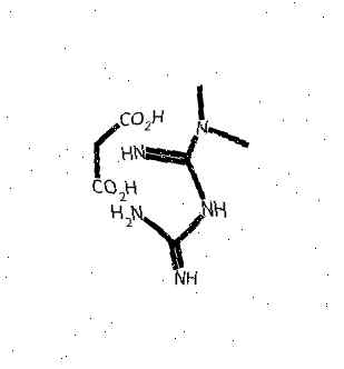 CN(C)C(=N)NC(=N)N.O=C(O)CC(=O)O